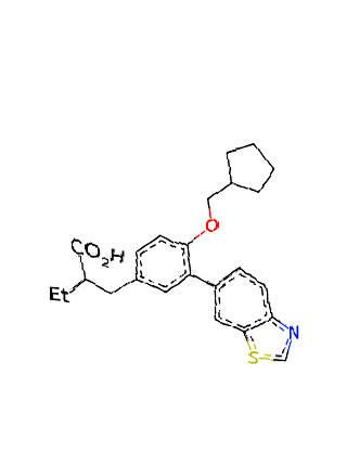 CCC(Cc1ccc(OCC2CCCC2)c(-c2ccc3ncsc3c2)c1)C(=O)O